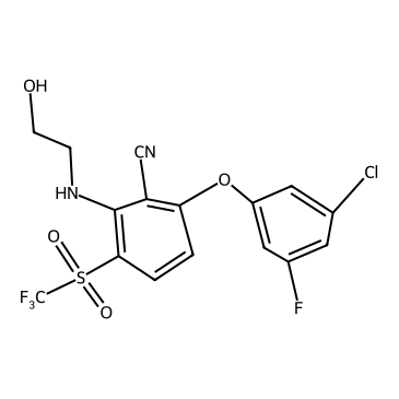 N#Cc1c(Oc2cc(F)cc(Cl)c2)ccc(S(=O)(=O)C(F)(F)F)c1NCCO